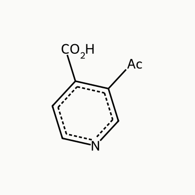 CC(=O)c1cnccc1C(=O)O